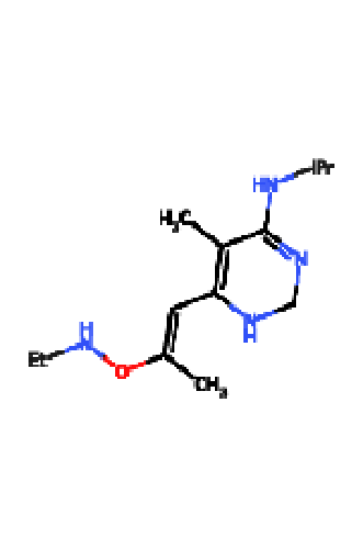 CCNO/C(C)=C/C1=C(C)C(NC(C)C)=NCN1